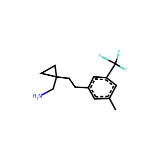 Cc1cc(CCC2(CN)CC2)cc(C(F)(F)F)c1